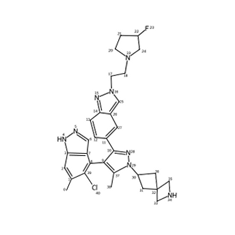 Cc1cc2[nH]ncc2c(-c2c(-c3ccc4nn(CCN5CCC(F)C5)cc4c3)nn(C3CC4(CNC4)C3)c2C)c1Cl